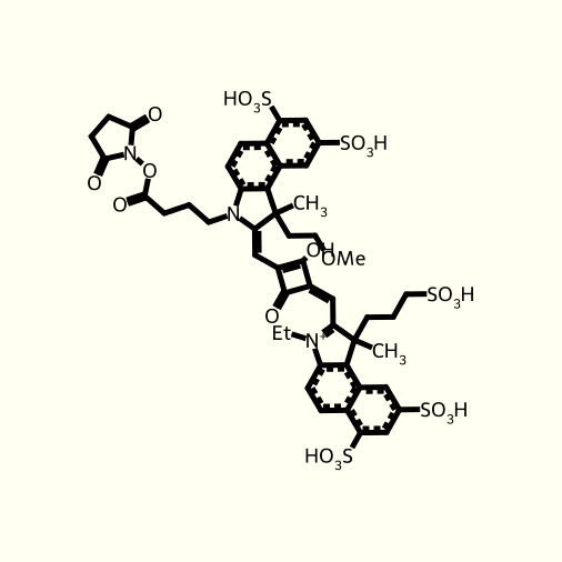 CC[N+]1=C(/C=C2\C(=O)C(/C=C3/N(CCCC(=O)ON4C(=O)CCC4=O)c4ccc5c(S(=O)(=O)O)cc(S(=O)(=O)O)cc5c4C3(C)CCOC)=C2O)C(C)(CCCS(=O)(=O)O)c2c1ccc1c(S(=O)(=O)O)cc(S(=O)(=O)O)cc21